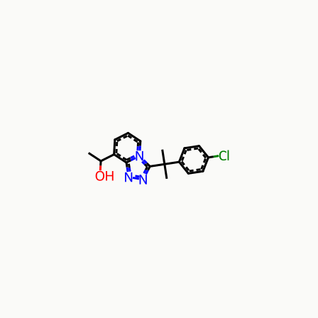 CC(O)c1cccn2c(C(C)(C)c3ccc(Cl)cc3)nnc12